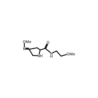 COCCNC(=O)C1CC(=NOC)CN1